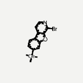 [CH3][Ge]([CH3])([CH3])[c]1ccc2c(c1)oc1c(Br)nccc12